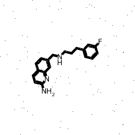 Nc1ccc2ccc(CNCCCc3cccc(F)c3)cc2n1